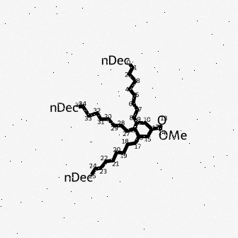 CCCCCCCCCCCCCCCCCCC1CC(C(=O)OC)CC(CCCCCCCCCCCCCCCCCC)C1CCCCCCCCCCCCCCCCCC